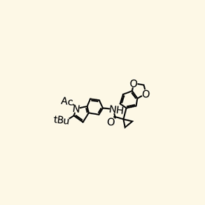 CC(=O)n1c(C(C)(C)C)cc2cc(NC(=O)C3(c4ccc5c(c4)OCO5)CC3)ccc21